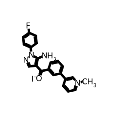 C[n+]1cccc(-c2cccc(C(=O)c3cnn(-c4ccc(F)cc4)c3N)c2)c1.[I-]